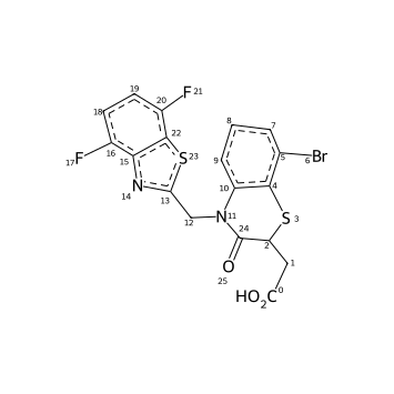 O=C(O)CC1Sc2c(Br)cccc2N(Cc2nc3c(F)ccc(F)c3s2)C1=O